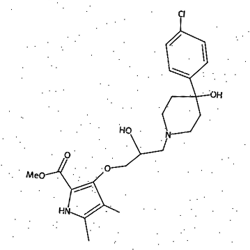 COC(=O)c1[nH]c(C)c(C)c1OCC(O)CN1CCC(O)(c2ccc(Cl)cc2)CC1